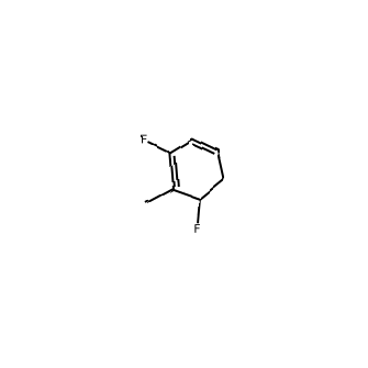 CC1=C(F)C=CCC1F